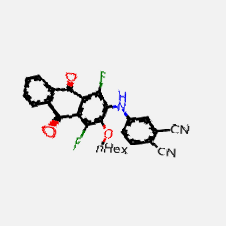 CCCCCCOc1c(F)c2c(c(F)c1Nc1ccc(C#N)c(C#N)c1)C(=O)c1ccccc1C2=O